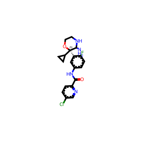 NC1NCCO[C@]1(c1cc(NC(=O)c2ccc(Cl)cn2)ccc1F)C1CC1